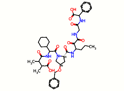 CCCC(NC(=O)[C@@H]1C[C@@H](OCc2ccccc2)CN1C(=O)C(NC(=O)C(C)C(C)C(=O)O)C1CCCCC1)C(=O)C(=O)NCC(=O)NC(C(=O)O)c1ccccc1